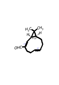 CC1(C)[C@@H]2/C=C(/C=O)CC/C=[C]/CC[C@@H]21